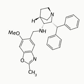 COc1cc2oc(C)nc2cc1CN[C@@H]1[C@@H]2CC[N@](C2)[C@@H]1C(c1ccccc1)c1ccccc1